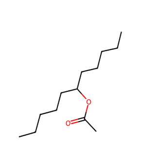 CCCCCC(CCCCC)OC(C)=O